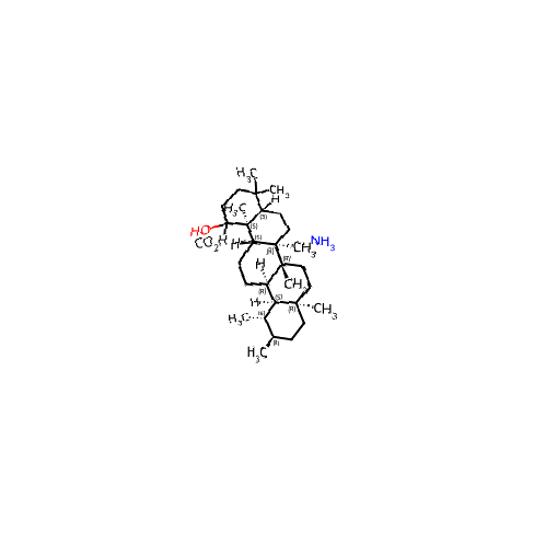 C[C@@H]1[C@H]2[C@H]3CC[C@@H]4[C@]5(C)[C@@H](CC[C@@]4(C)[C@]3(C)CC[C@@]2(C)CC[C@H]1C)C(C)(C)CCC5(O)C(=O)O.N